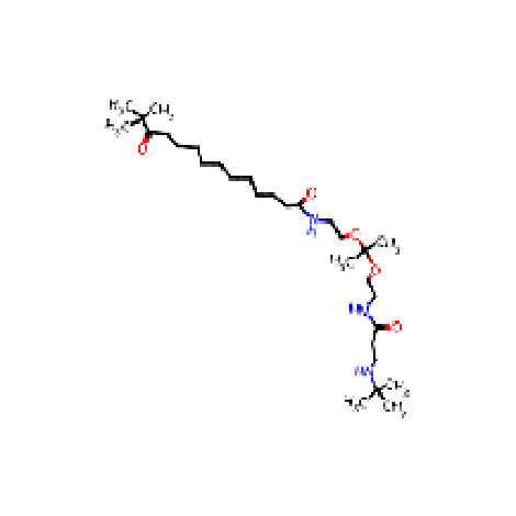 CC(C)(C)NCCC(=O)NCCOC(C)(C)OCCNC(=O)CCCCCCCCCCC(=O)C(C)(C)C